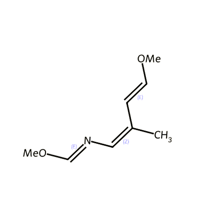 CO/C=C/C(C)=C\N=C\OC